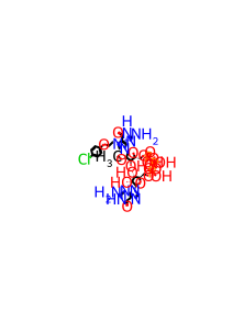 CO[C@@H]1[C@H](O)[C@@H](COP(=O)(O)OP(=O)(O)OP(=O)(O)OC[C@H]2O[C@@H](n3cnc4c(=O)[nH]c(N)nc43)[C@H](O)[C@@H]2O)O[C@H]1n1c[n+](CCOc2ccc(Cl)cc2)c2c(=O)[nH]c(N)nc21